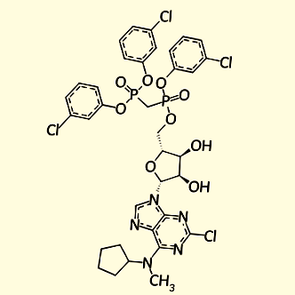 CN(c1nc(Cl)nc2c1ncn2[C@@H]1O[C@H](COP(=O)(CP(=O)(Oc2cccc(Cl)c2)Oc2cccc(Cl)c2)Oc2cccc(Cl)c2)[C@@H](O)[C@H]1O)C1CCCC1